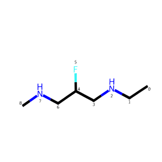 CCNCC(F)CNC